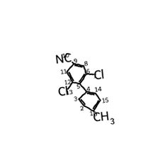 Cc1ccc(-c2c(Cl)cc(C#N)cc2Cl)cc1